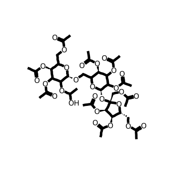 CC(=O)OCC1O[C@H](OCC2O[C@@H](O[C@]3(COC(C)=O)O[C@H](COC(C)=O)[C@@H](OC(C)=O)[C@H]3OC(C)=O)C(OC(C)=O)C(OC(C)=O)[C@@H]2OC(C)=O)C(OC(C)O)C(OC(C)=O)[C@H]1OC(C)=O